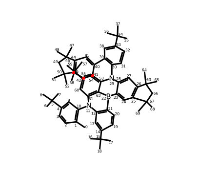 Cc1ccc(C(C)(C)C)cc1N1c2cc(C(C)(C)C)ccc2B2c3cc4c(cc3N(c3ccc(C(C)(C)C)cc3-c3ccc5c(c3)C(C)(C)CC5(C)C)c3cc(C(C)(C)C)cc1c32)C(C)(C)CC4(C)C